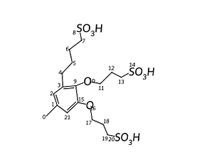 Cc1cc(CCCCS(=O)(=O)O)c(OCCCS(=O)(=O)O)c(OCCCS(=O)(=O)O)c1